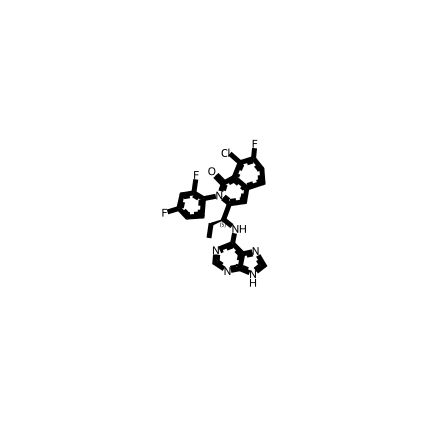 CC[C@H](Nc1ncnc2[nH]cnc12)c1cc2ccc(F)c(Cl)c2c(=O)n1-c1ccc(F)cc1F